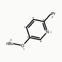 CCCCOc1ccc(C(C)C)nc1